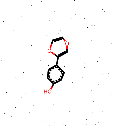 Oc1ccc(C2=COC=CO2)cc1